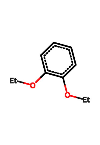 [CH2]COc1ccccc1OCC